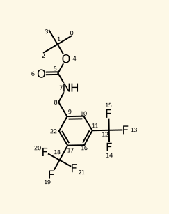 CC(C)(C)OC(=O)NCc1cc(C(F)(F)F)cc(C(F)(F)F)c1